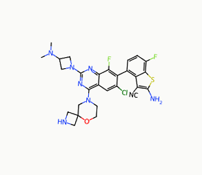 CN(C)C1CN(c2nc(N3CCOC4(CNC4)C3)c3cc(Cl)c(-c4ccc(F)c5sc(N)c(C#N)c45)c(F)c3n2)C1